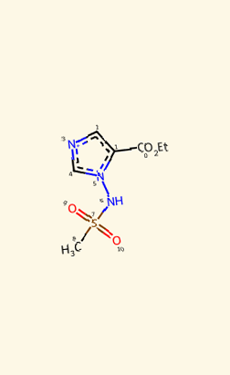 CCOC(=O)c1cncn1NS(C)(=O)=O